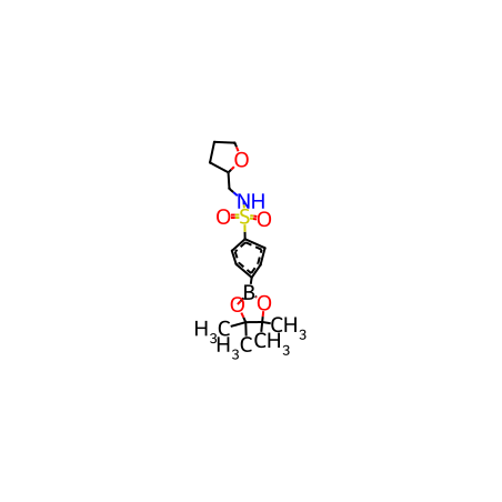 CC1(C)OB(c2ccc(S(=O)(=O)NCC3CCCO3)cc2)OC1(C)C